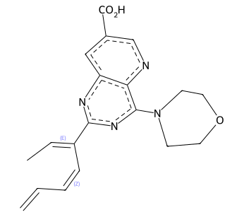 C=C/C=C\C(=C/C)c1nc(N2CCOCC2)c2ncc(C(=O)O)cc2n1